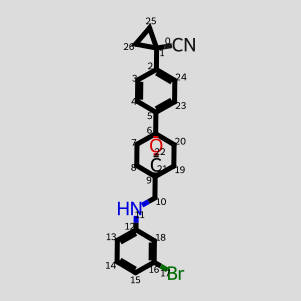 N#CC1(c2ccc(C34CCC(CNc5cccc(Br)c5)(CC3)CO4)cc2)CC1